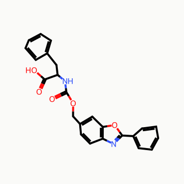 O=C(NC(Cc1ccccc1)C(=O)O)OCc1ccc2nc(-c3ccccc3)oc2c1